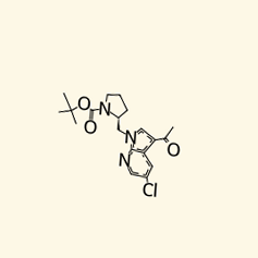 CC(=O)c1cn(C[C@@H]2CCCN2C(=O)OC(C)(C)C)c2ncc(Cl)cc12